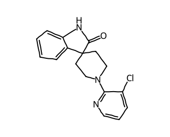 O=C1Nc2ccccc2C12CCN(c1ncccc1Cl)CC2